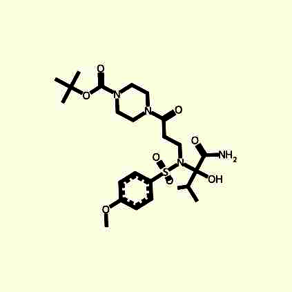 COc1ccc(S(=O)(=O)N(CCC(=O)N2CCN(C(=O)OC(C)(C)C)CC2)C(O)(C(N)=O)C(C)C)cc1